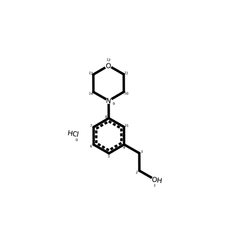 Cl.OCCc1cccc(N2CCOCC2)c1